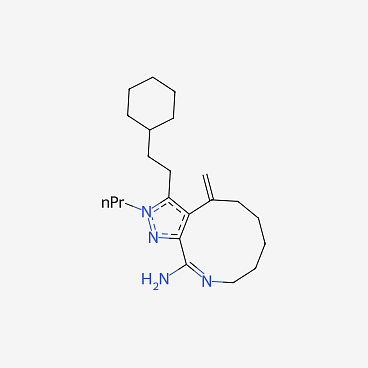 C=C1CCCCC/N=C(/N)c2nn(CCC)c(CCC3CCCCC3)c21